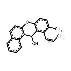 C/C=C\c1c(C)ccc2c1C(O)c1c(ccc3ccccc13)O2